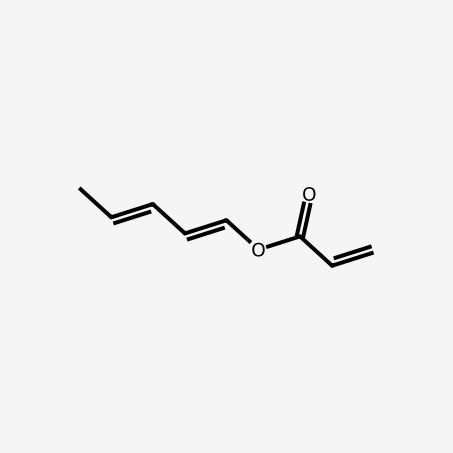 C=CC(=O)OC=CC=CC